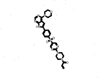 C=CC(=O)N1CCN(c2ncc(S(=O)(=O)c3ccc(-c4cc5c(N6CCOCC6)ncnc5[nH]4)cc3)cn2)CC1